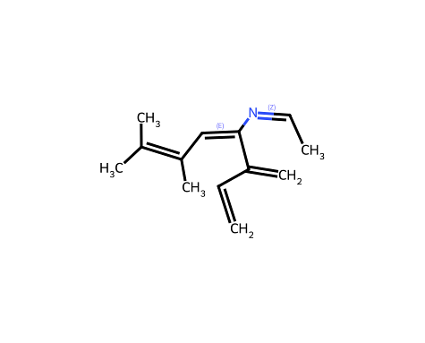 C=CC(=C)C(=C\C(C)=C(C)C)/N=C\C